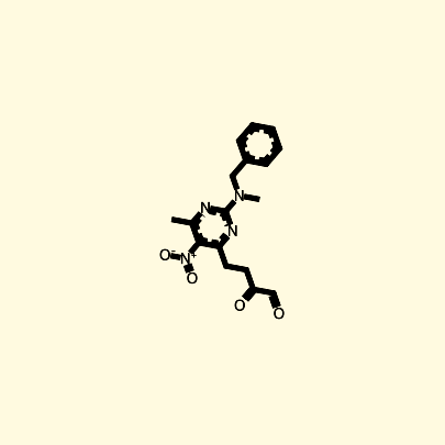 Cc1nc(N(C)Cc2ccccc2)nc(CCC(=O)C=O)c1[N+](=O)[O-]